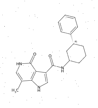 Cc1c[nH]c(=O)c2c(C(=O)NC3CCC[C@@H](c4ccccc4)C3)c[nH]c12